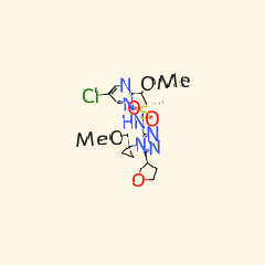 COCC1(n2c(NS(=O)(=O)[C@@H](C)[C@H](OC)c3ncc(Cl)cn3)nnc2[C@H]2CCOC2)CC1